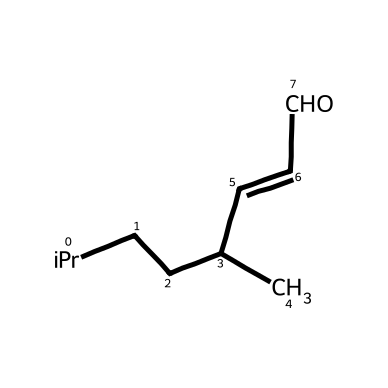 CC(C)CCC(C)C=CC=O